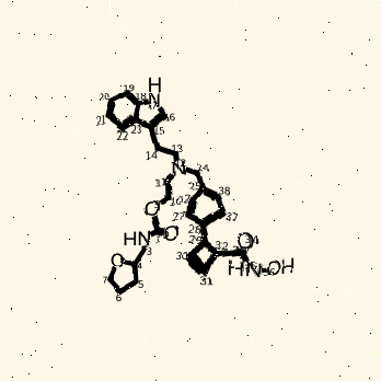 O=C(NCC1CCCO1)OCCN(CCc1c[nH]c2ccccc12)Cc1ccc(C2C#CC2C(=O)NO)cc1